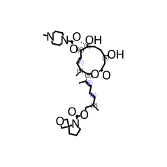 C/C(=C\C=C\[C@@H](C)COC(=O)N1CCCC12COC2)[C@H]1OC(=O)C[C@@H](O)CC[C@](C)(O)[C@@H](OC(=O)N2CCN(C)CC2)/C=C/[C@@H]1C